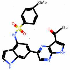 COc1ccc(S(=O)(=O)Nc2cc(-c3cnc4[nH]cc(C(=O)C(C)(C)C)c4n3)cc3[nH]ccc23)cc1